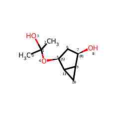 CC(C)(O)O[C@H]1C[C@@H](O)C2CC21